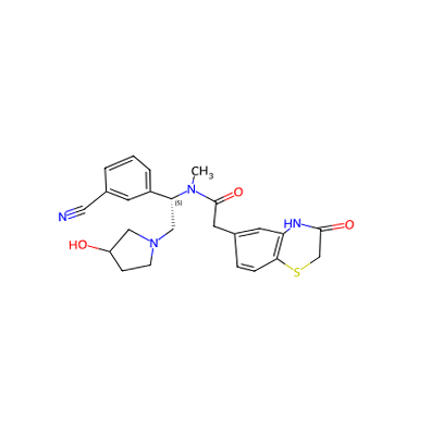 CN(C(=O)Cc1ccc2c(c1)NC(=O)CS2)[C@H](CN1CCC(O)C1)c1cccc(C#N)c1